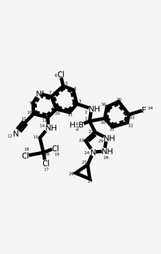 BC(Nc1cc(Cl)c2ncc(C#N)c(NCC(Cl)(Cl)Cl)c2c1)(C1=CN(C2CC2)NN1)c1ccc(F)cc1